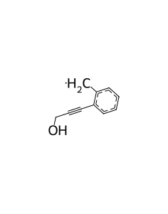 [CH2]c1ccccc1C#CCO